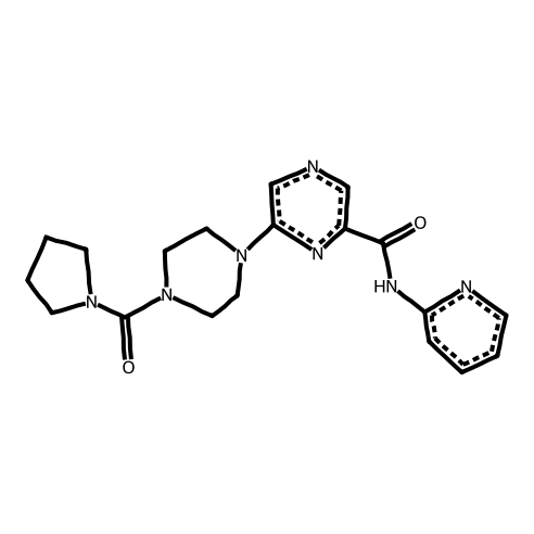 O=C(Nc1ccccn1)c1cncc(N2CCN(C(=O)N3CCCC3)CC2)n1